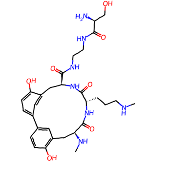 CNCCC[C@@H]1NC(=O)[C@@H](NC)Cc2cc(ccc2O)-c2ccc(O)c(c2)C[C@@H](C(=O)NCCNC(=O)[C@@H](N)CO)NC1=O